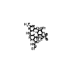 CCONC(=O)c1cnc(Nc2cc(C)nc(C)n2)cc1Nc1ccc(C(C)C)cc1N(C)[SH](=O)=O